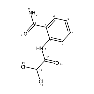 NC(=O)c1ccccc1NC(=O)C(Cl)Cl